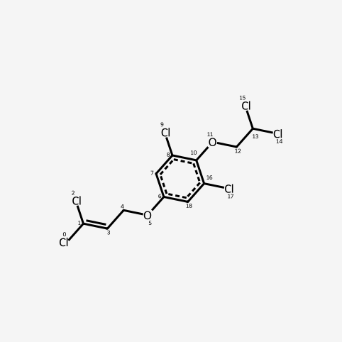 ClC(Cl)=CCOc1cc(Cl)c(OCC(Cl)Cl)c(Cl)c1